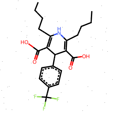 CCCCC1=C(C(=O)O)C(c2ccc(C(F)(F)F)cc2)C(C(=O)O)=C(CCCC)N1